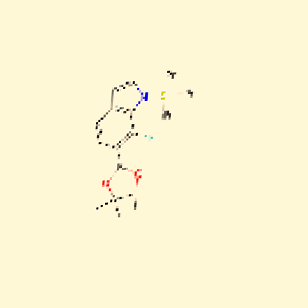 CC(C)S(C(C)C)(C(C)C)n1ccc2ccc(B3OC(C)(C)C(C)(C)O3)c(F)c21